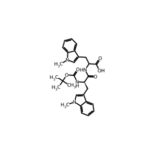 Cn1cc(CC(NC(=O)[C@@H](Cc2cn(C)c3ccccc23)NC(=O)OC(C)(C)C)C(=O)O)c2ccccc21